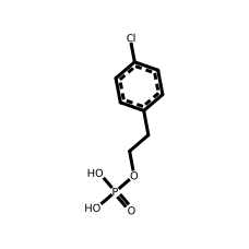 O=P(O)(O)OCCc1ccc(Cl)cc1